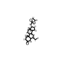 CCC1CC2C(CCC3(C)C2CC[C@@H]3CC2OCCO2)C2(C)CCC(=O)CC12